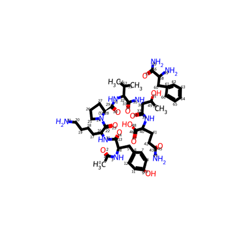 CC(=O)NC(Cc1ccc(O)cc1)C(=O)NC(CCCCN)C(=O)N1CCC[C@H]1C(=O)NC(C(=O)NC(C(=O)NC(CCC(N)=O)C(=O)O)C(C)O)C(C)C.NC(=O)C(N)Cc1ccccc1